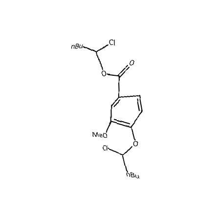 CCCCC(Cl)OC(=O)c1ccc(OC(Cl)CCCC)c(OC)c1